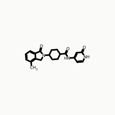 Cc1cccc2c1CN(C1CCC(C(=O)Nc3cc[nH]c(=O)c3)CC1)C2=O